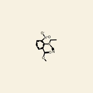 CCN(C#N)c1c(C(=O)OC)cccc1[N+](=O)[O-]